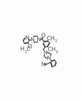 COc1cccnc1N1CCN(C(=O)c2cc(CN3CCN(c4ccccc4C#N)CC3)c(C)cc2C)CC1